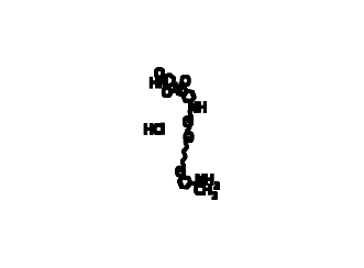 CC(N)c1cccc(OCCCCCCOCCOCCNc2ccc3c(c2)CN(C2CCC(=O)NC2=O)C3=O)c1.Cl